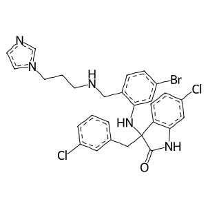 O=C1Nc2cc(Cl)ccc2C1(Cc1cccc(Cl)c1)Nc1cc(Br)ccc1CNCCCn1ccnc1